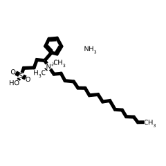 CCCCCCCCCCCCCCCC[N+](C)(C)C(CCCS(=O)(=O)O)c1ccccc1.N